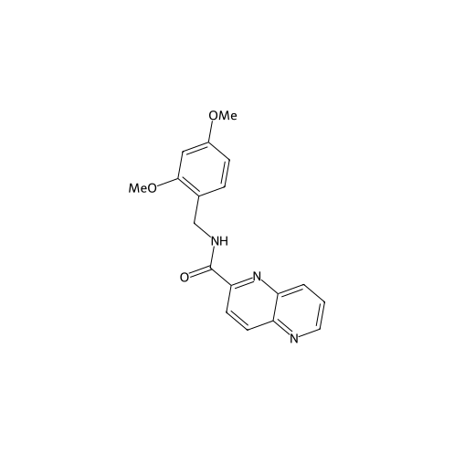 COc1ccc(CNC(=O)c2ccc3ncccc3n2)c(OC)c1